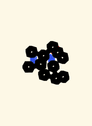 c1ccc(-c2cc(-c3ccccc3-n3c4ccccc4c4ccccc43)ccc2N(c2ccc(-c3c(-c4ccccc4)ccc4ccccc34)cc2)c2cccc3ccccc23)cc1